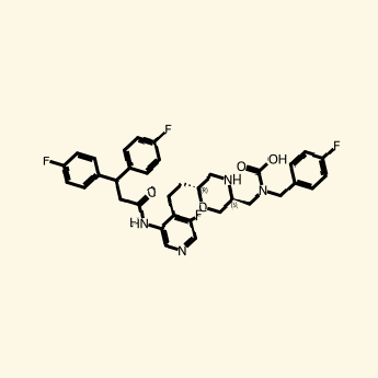 O=C(CC(c1ccc(F)cc1)c1ccc(F)cc1)Nc1cncc(F)c1CC[C@@H]1CN[C@@H](CN(Cc2ccc(F)cc2)C(=O)O)CO1